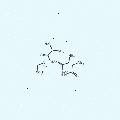 COC(=O)C(C)N.COC(=O)CN.NCC(=O)O.NCC(N)=O